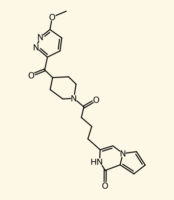 COc1ccc(C(=O)C2CCN(C(=O)CCCc3cn4cccc4c(=O)[nH]3)CC2)nn1